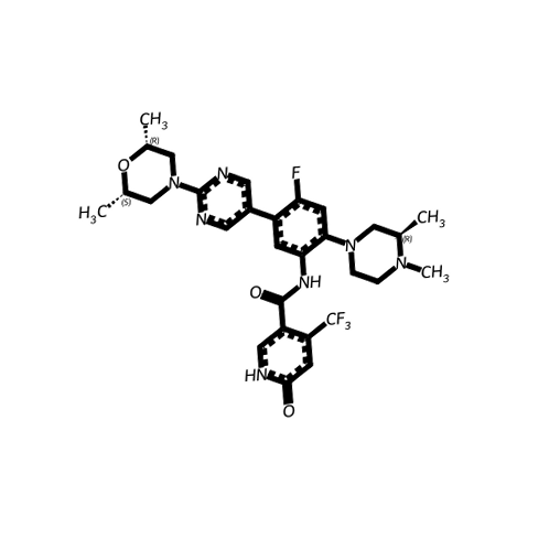 C[C@@H]1CN(c2ncc(-c3cc(NC(=O)c4c[nH]c(=O)cc4C(F)(F)F)c(N4CCN(C)[C@H](C)C4)cc3F)cn2)C[C@H](C)O1